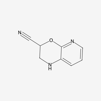 N#CC1CNc2cccnc2O1